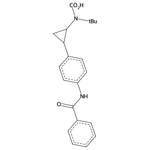 CC(C)(C)N(C(=O)O)C1CC1c1ccc(NC(=O)c2ccccc2)cc1